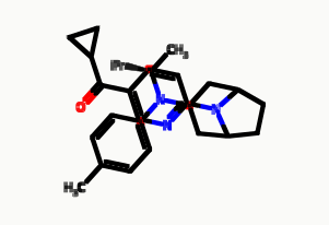 Cc1ccc(N(C2CC3CCC(C2)N3c2ccc(C(=O)C3CC3)cn2)[C@H](C)C(C)C)cc1